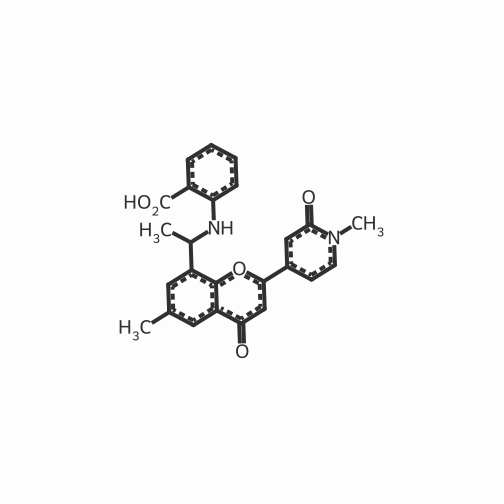 Cc1cc(C(C)Nc2ccccc2C(=O)O)c2oc(-c3ccn(C)c(=O)c3)cc(=O)c2c1